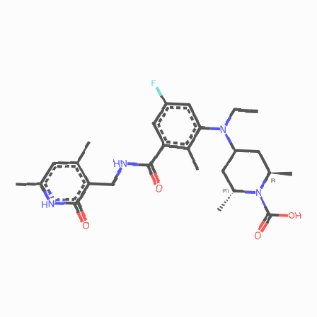 CCN(c1cc(F)cc(C(=O)NCc2c(C)cc(C)[nH]c2=O)c1C)C1C[C@@H](C)N(C(=O)O)[C@H](C)C1